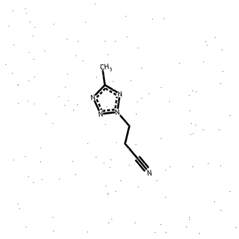 Cc1nnn(CCC#N)n1